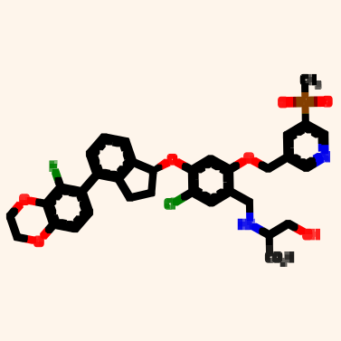 CS(=O)(=O)c1cncc(COc2cc(O[C@H]3CCc4c(-c5ccc6c(c5F)OCCO6)cccc43)c(Cl)cc2CNC(CO)C(=O)O)c1